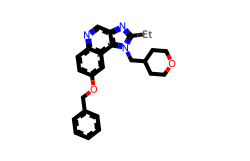 CCc1nc2cnc3ccc(OCc4ccccc4)cc3c2n1CC1CCOCC1